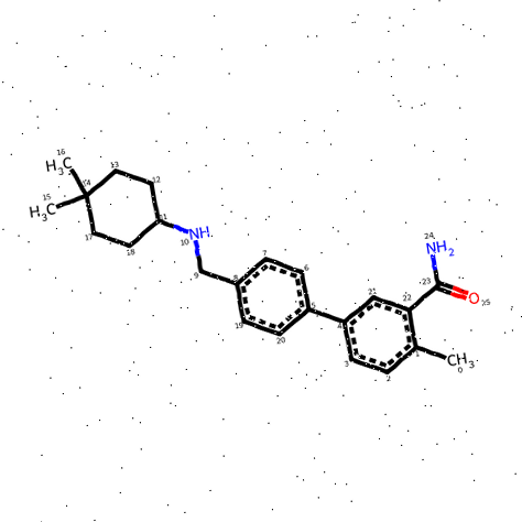 Cc1ccc(-c2ccc(CNC3CCC(C)(C)CC3)cc2)cc1C(N)=O